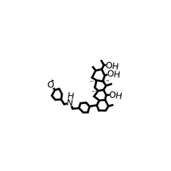 COC1CCC(CNCC2CCC(C3CCC(C)C4C(O)C5C(C)[C@]6(C)C(O)C(C(C)O)C(C)C[C@]6(C)C[C@]5(C)CC34)CC2)CC1